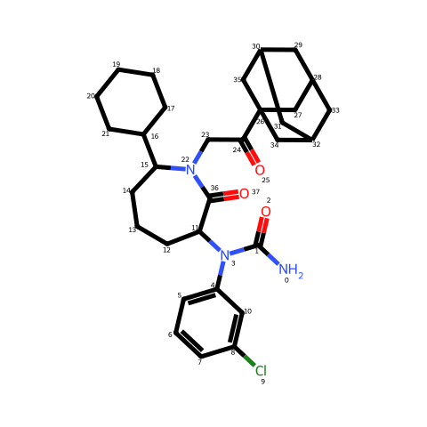 NC(=O)N(c1cccc(Cl)c1)C1CCCC(C2CCCCC2)N(CC(=O)C23CC4CC(CC(C4)C2)C3)C1=O